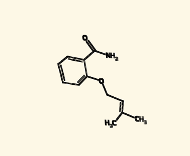 CC(C)=CCOc1ccccc1C(N)=O